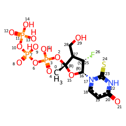 C[C@]1(OP(=O)(O)OP(=O)(O)OP(=O)(O)O)O[C@@H](n2ccc(=O)[nH]c2=S)[C@@H](F)C1CO